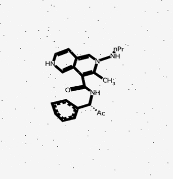 CCCNN1C=C2C=CNC=C2C(C(=O)N[C@H](C(C)=O)c2ccccc2)=C1C